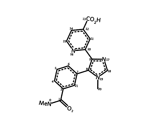 CNC(=O)c1cccc(-c2c(-c3cc(C(=O)O)ccn3)ncn2C)c1